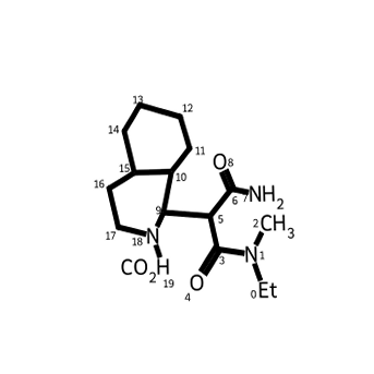 CCN(C)C(=O)C(C(N)=O)C1C2CCCCC2CCN1C(=O)O